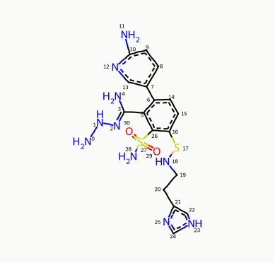 NN/N=C(\N)c1c(-c2ccc(N)nc2)ccc(SNCCc2c[nH]cn2)c1S(N)(=O)=O